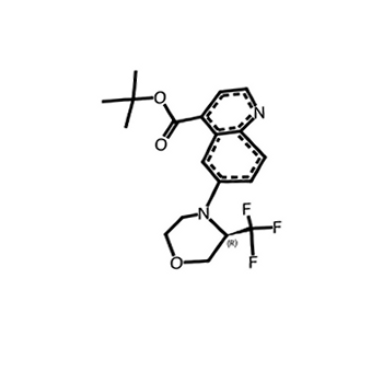 CC(C)(C)OC(=O)c1ccnc2ccc(N3CCOC[C@@H]3C(F)(F)F)cc12